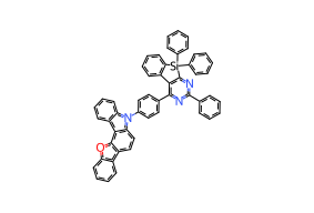 c1ccc(-c2nc(-c3ccc(-n4c5ccccc5c5c6oc7ccccc7c6ccc54)cc3)c3c(n2)[Si](c2ccccc2)(c2ccccc2)c2ccccc2-3)cc1